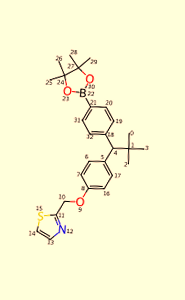 CC(C)(C)C(c1ccc(OCc2nccs2)cc1)c1ccc(B2OC(C)(C)C(C)(C)O2)cc1